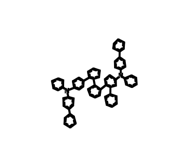 c1ccc(-c2ccc(N(c3ccccc3)c3ccc(-c4ccccc4-c4ccccc4-c4ccc(N(c5ccccc5)c5ccc(-c6ccccc6)cc5)cc4-c4ccccc4)cc3)cc2)cc1